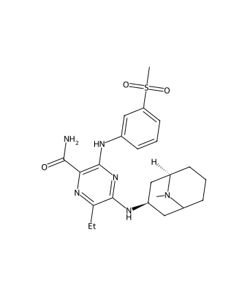 CCc1nc(C(N)=O)c(Nc2cccc(S(C)(=O)=O)c2)nc1N[C@@H]1CC2CCC[C@H](C1)N2C